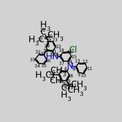 CC(C)(C)c1cc(N(c2ccccc2)c2cc(Cl)cc(Nc3ccc(C(C)(C)C)cc3-c3ccccc3)c2)cc(C(C)(C)C)c1